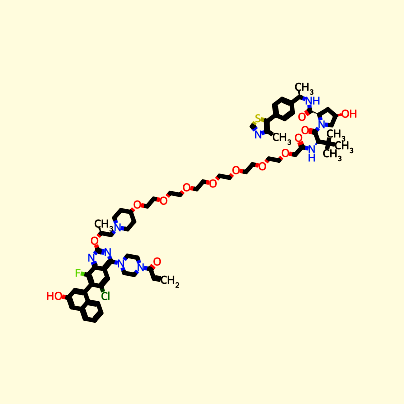 C=CC(=O)N1CCN(c2nc(O[C@H](C)CN3CCC(OCCOCCOCCOCCOCCOCCOCC(=O)N[C@H](C(=O)N4C[C@H](O)C[C@H]4C(=O)N[C@@H](C)c4ccc(-c5scnc5C)cc4)C(C)(C)C)CC3)nc3c(F)c(-c4cc(O)cc5ccccc45)c(Cl)cc23)CC1